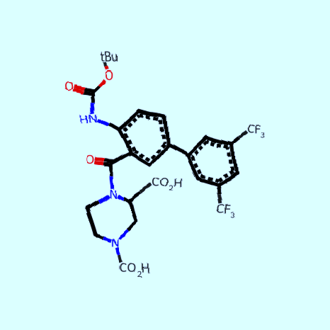 CC(C)(C)OC(=O)Nc1ccc(-c2cc(C(F)(F)F)cc(C(F)(F)F)c2)cc1C(=O)N1CCN(C(=O)O)CC1C(=O)O